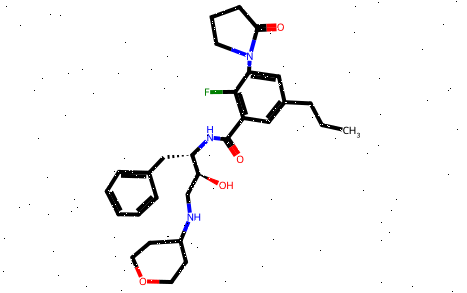 CCCc1cc(C(=O)N[C@@H](Cc2ccccc2)[C@@H](O)CNC2CCOCC2)c(F)c(N2CCCC2=O)c1